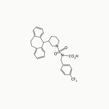 O=C(O)N(Cc1ccc(C(F)(F)F)cc1)S(=O)(=O)N1CCCC(C2c3ccccc3CCc3ccccc32)C1